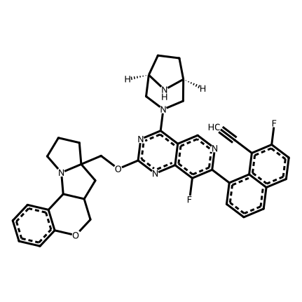 C#Cc1c(F)ccc2cccc(-c3ncc4c(N5C[C@H]6CC[C@@H](C5)N6)nc(OCC56CCCN5C5c7ccccc7OCC5C6)nc4c3F)c12